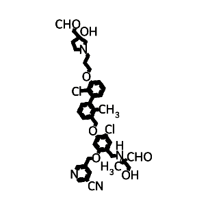 Cc1c(COc2cc(OCc3cncc(C#N)c3)c(CN[C@](C)(C=O)CO)cc2Cl)cccc1-c1cccc(OCCCN2CCC(O)(CC=O)C2)c1Cl